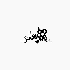 Cn1nc(-c2ccccc2)c2c(-c3ccc(F)cc3)c(/C=C/C(O)CC(O)CC(=O)O)c(C3CC3)nc21